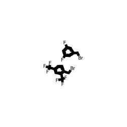 FC(F)(F)c1ccc(CBr)c(C(F)(F)F)c1.Fc1cc(F)cc(CBr)c1